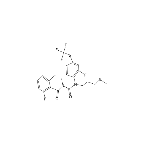 CSCCCN(C(=O)N(C)C(=O)c1c(F)cccc1F)c1ccc(SC(F)(F)F)cc1F